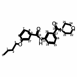 CCCCOc1cccc(C(=O)Nc2cccc(C(=O)N3CCOCC3)c2)c1